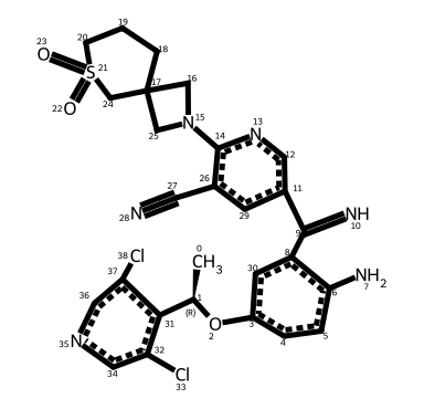 C[C@@H](Oc1ccc(N)c(C(=N)c2cnc(N3CC4(CCCS(=O)(=O)C4)C3)c(C#N)c2)c1)c1c(Cl)cncc1Cl